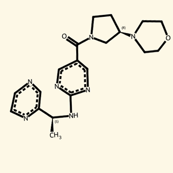 C[C@H](Nc1ncc(C(=O)N2CC[C@@H](N3CCOCC3)C2)cn1)c1cnccn1